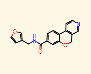 O=C(NCc1ccoc1)c1ccc2c(c1)OCc1cnccc1-2